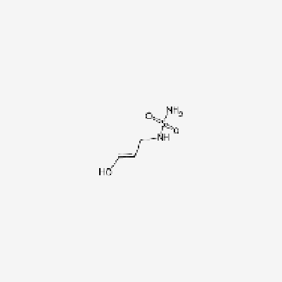 NS(=O)(=O)NCC=CO